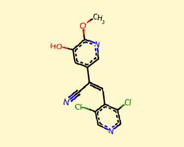 COc1ncc(/C(C#N)=C/c2c(Cl)cncc2Cl)cc1O